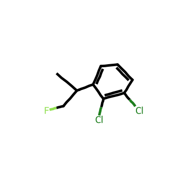 C[C](CF)c1cccc(Cl)c1Cl